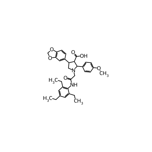 CCc1cc(CC)c(NC(=O)CN2CC(c3ccc4c(c3)OCO4)C(C(=O)O)C2c2ccc(OC)cc2)c(CC)c1